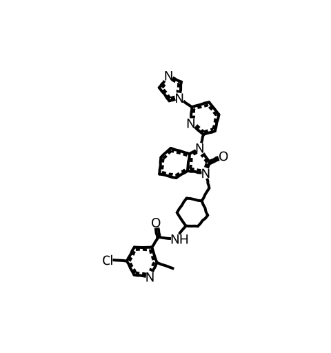 Cc1ncc(Cl)cc1C(=O)NC1CCC(Cn2c(=O)n(-c3cccc(-n4ccnc4)n3)c3ccccc32)CC1